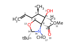 C=CC[C@@H](C)[C@@](C)(O)[C@]1(C(=O)OC)CO[C@@H](C(C)(C)C)N1C=O